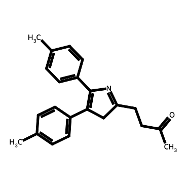 CC(=O)CCC1=NC(c2ccc(C)cc2)=C(c2ccc(C)cc2)C1